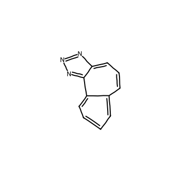 c1ccc2c3nnnc-3cccc2c1